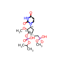 CO[C@@H]1[C@H](OP(=O)(O)OC(C)C)[C@@H](CCP(=O)(O)OC)C[C@@H]1n1ccc(=O)[nH]c1=O